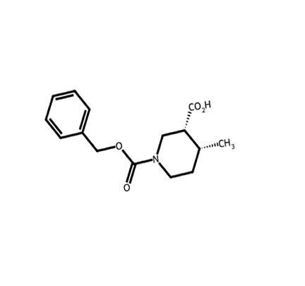 C[C@@H]1CCN(C(=O)OCc2ccccc2)C[C@@H]1C(=O)O